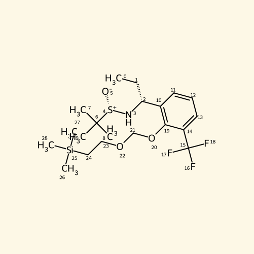 CC[C@@H](N[S@@+]([O-])C(C)(C)C)c1cccc(C(F)(F)F)c1OCOCC[Si](C)(C)C